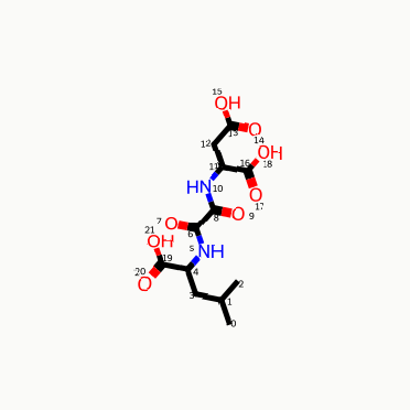 CC(C)CC(NC(=O)C(=O)NC(CC(=O)O)C(=O)O)C(=O)O